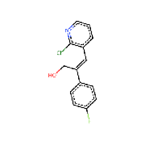 OCC(=Cc1cccnc1Cl)c1ccc(F)cc1